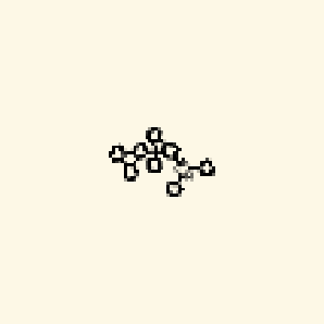 c1ccc(-c2nc(-c3ccccc3)nc(-c3ccc4c(c3)C(c3ccccc3)(c3ccc5c6ccccc6c6ccccc6c5c3)c3ccccc3-4)n2)cc1